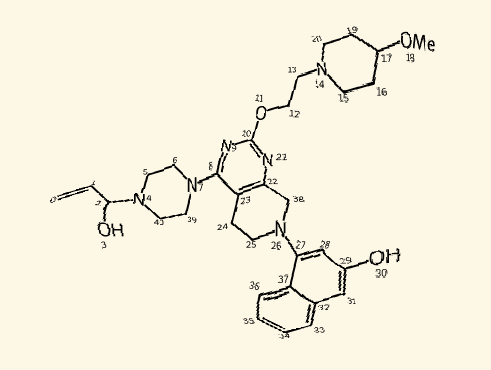 C=CC(O)N1CCN(c2nc(OCCN3CCC(OC)CC3)nc3c2CCN(c2cc(O)cc4ccccc24)C3)CC1